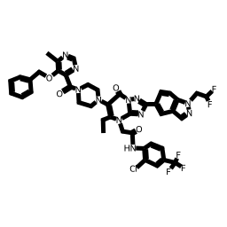 CCc1c(N2CCN(C(=O)c3ncnc(C)c3OCc3ccccc3)CC2)c(=O)n2nc(-c3ccc4c(cnn4CC(F)F)c3)nc2n1CC(=O)Nc1ccc(C(F)(F)F)cc1Cl